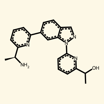 CC(O)c1cccc(-n2ncc3ccc(-c4cccc([C@H](C)N)n4)cc32)n1